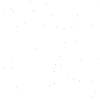 C=COC(=O)c1ccc(Cl)cc1.CC(=O)O